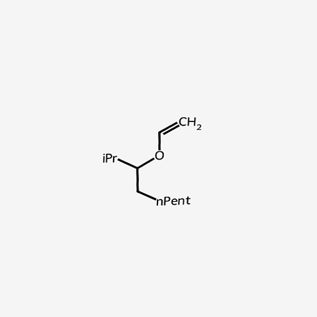 C=COC(CCCCCC)C(C)C